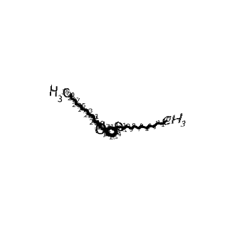 CCCCCCCCCCCCOc1cccc(OCCCCCCCCCCCC)c1